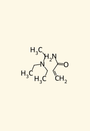 C=CC(N)=O.CCN(CC)CC